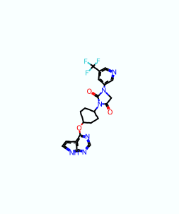 O=C1CN(c2cncc(C(F)(F)F)c2)C(=O)N1C1CCC(Oc2ncnc3[nH]ccc23)CC1